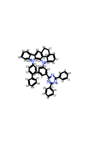 Cc1cc(-c2nc(-c3ccccc3)nc(-c3ccccc3)n2)cc(-n2c3cccc4c3c3c(cc5c6ccccc6n(-c6ccc(-c7ccccc7)cc6)c5c32)CC4)c1